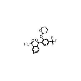 O=C(O)c1cnccc1C(=O)c1ccc(C(F)(F)F)cc1OC1CCCCO1